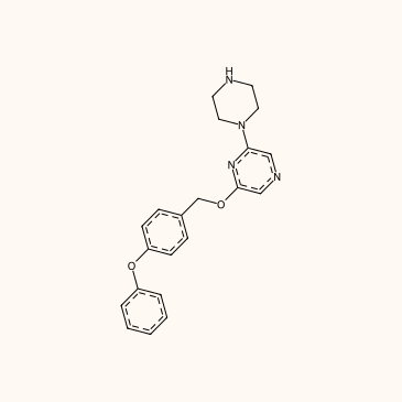 c1ccc(Oc2ccc(COc3cncc(N4CCNCC4)n3)cc2)cc1